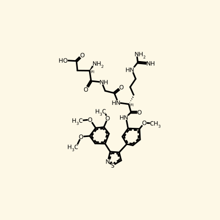 COc1ccc(-c2csnc2-c2cc(OC)c(OC)c(OC)c2)cc1NC(=O)[C@@H](CCCNC(=N)N)NC(=O)CNC(=O)[C@H](N)CC(=O)O